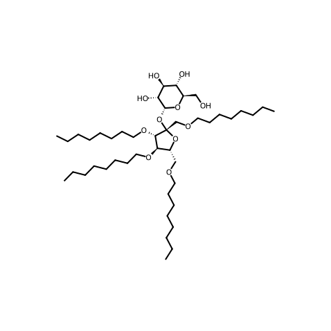 CCCCCCCCOC[C@H]1O[C@@](COCCCCCCCC)(O[C@H]2O[C@H](CO)[C@@H](O)[C@H](O)[C@H]2O)[C@@H](OCCCCCCCC)[C@@H]1OCCCCCCCC